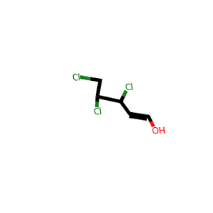 OC=CC(Cl)C(Cl)CCl